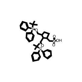 CC(C)(C)[Si](OCC1CCC(CS(=O)(=O)O)C1CO[Si](c1ccccc1)(c1ccccc1)C(C)(C)C)(c1ccccc1)c1ccccc1